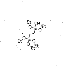 CCO[Si](C)(CC[Si](OCC)(OCC)OCC)OCC